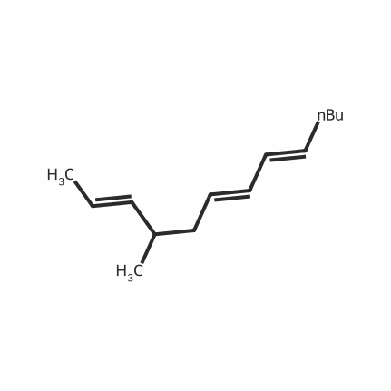 CC=CC(C)CC=CC=CCCCC